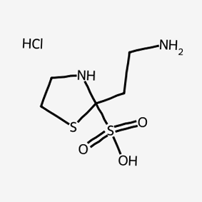 Cl.NCCC1(S(=O)(=O)O)NCCS1